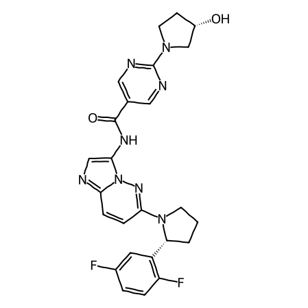 O=C(Nc1cnc2ccc(N3CCC[C@@H]3c3cc(F)ccc3F)nn12)c1cnc(N2CC[C@H](O)C2)nc1